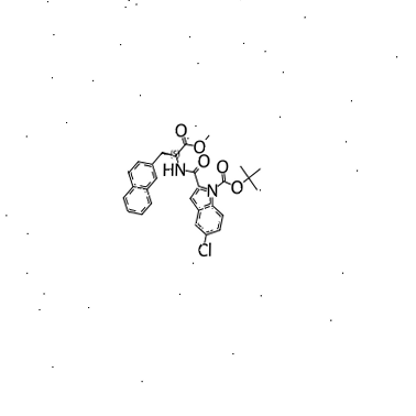 COC(=O)[C@H](Cc1ccc2ccccc2c1)NC(=O)c1cc2cc(Cl)ccc2n1C(=O)OC(C)(C)C